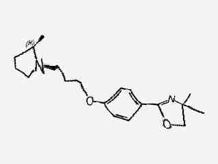 C[C@@H]1CCCN1CCCOc1ccc(C2=NC(C)(C)CO2)cc1